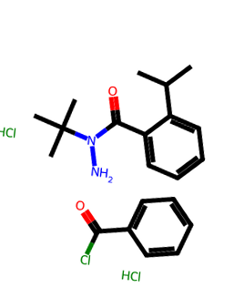 CC(C)c1ccccc1C(=O)N(N)C(C)(C)C.Cl.Cl.O=C(Cl)c1ccccc1